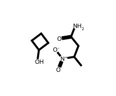 CC(CC(N)=O)[N+](=O)[O-].OC1CCC1